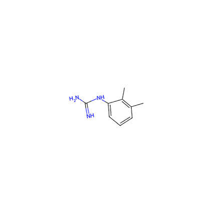 Cc1cccc(NC(=N)N)c1C